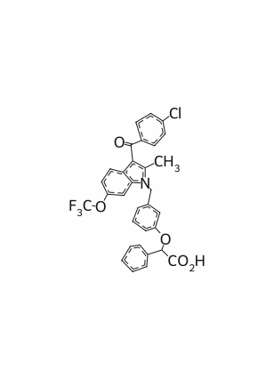 Cc1c(C(=O)c2ccc(Cl)cc2)c2ccc(OC(F)(F)F)cc2n1Cc1cccc(OC(C(=O)O)c2ccccc2)c1